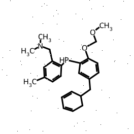 COCOc1ccc(CC2C=CC=CC2)cc1Pc1ccc(C)cc1CN(C)C